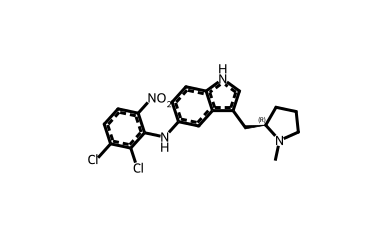 CN1CCC[C@@H]1Cc1c[nH]c2ccc(Nc3c([N+](=O)[O-])ccc(Cl)c3Cl)cc12